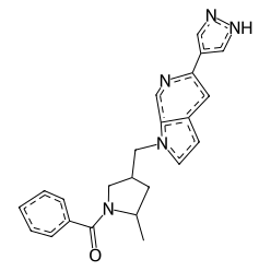 CC1CC(Cn2ccc3cc(-c4cn[nH]c4)ncc32)CN1C(=O)c1ccccc1